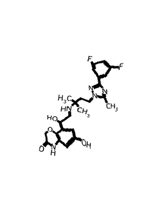 Cc1nc(-c2cc(F)cc(F)c2)nn1CCC(C)(C)NCC(O)c1cc(O)cc2c1OCC(=O)N2